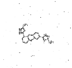 CCCc1nnc(-c2ccc3cc4c(-c5nnc(CCC)s5)cccc4cc3c2)s1